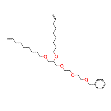 C=CCCCCCCCOCC(COCCOCCOCc1ccccc1)OCCCCCCCC=C